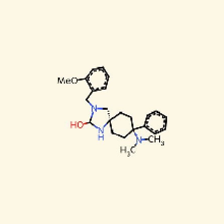 COc1ccccc1CN1C[C@]2(CC[C@](c3ccccc3)(N(C)C)CC2)NC1O